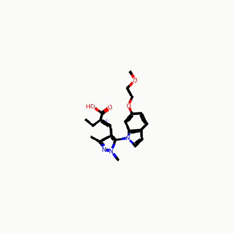 CC/C(=C\c1c(C)nn(C)c1-n1ccc2ccc(OCCOC)cc21)C(=O)O